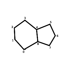 [CH]1CCCC2CCCC12